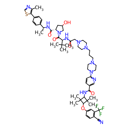 Cc1ncsc1-c1ccc([C@H](C)NC(=O)[C@@H]2C[C@@H](O)CN2C(=O)[C@@H](NC(=O)CN2CCN(CCCN3CCN(c4ccc(C(=O)NC5C(C)(C)C(Oc6ccc(C#N)c(C(F)(F)F)c6)C5(C)C)cn4)CC3)CC2)C(C)(C)C)cc1